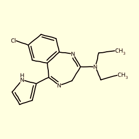 CCN(CC)C1=Nc2ccc(Cl)cc2C(c2ccc[nH]2)=NC1